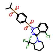 CC(C)S(=O)(=O)c1ccc(S(=O)(=O)n2nc(N3CCCCC3C(F)(F)F)c3c(Cl)cccc32)cc1